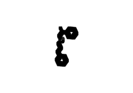 C[C@H](COCCCc1ccccc1)c1ccccc1